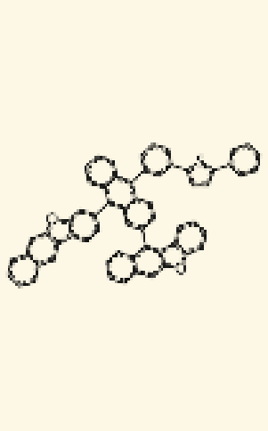 c1ccc(-c2ccc(-c3cccc(-c4c5ccccc5c(-c5ccc6c(c5)oc5cc7ccccc7cc56)c5cc(-c6c7ccccc7cc7oc8ccccc8c67)ccc45)c3)s2)cc1